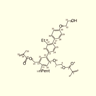 C=C(C)C(=O)OCCOc1cc(CCCCC)c(COC(=O)C(=C)C)cc1-c1ccc(-c2ccc(OCCO)cc2)c(CC)c1